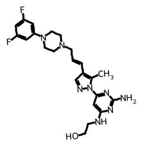 Cc1c(/C=C/CN2CCN(c3cc(F)cc(F)c3)CC2)cnn1-c1cc(NCCO)nc(N)n1